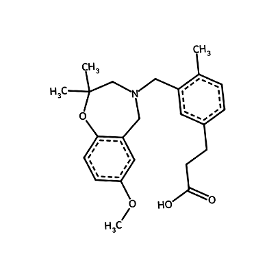 COc1ccc2c(c1)CN(Cc1cc(CCC(=O)O)ccc1C)CC(C)(C)O2